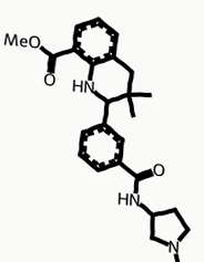 COC(=O)c1cccc2c1NC(c1cccc(C(=O)NC3CCN(C)C3)c1)C(C)(C)C2